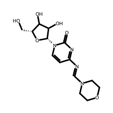 O=c1nc(/N=C/N2CCOCC2)ccn1[C@@H]1O[C@H](CO)C(O)C1O